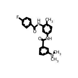 Cc1ccc(NC(=O)c2cccc(N(C)C)c2)cc1NC(=O)c1ccc(F)cc1